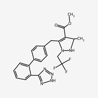 COC(=O)C1=C(Cc2ccc(-c3ccccc3-c3nn[nH]n3)cc2)N(CC(F)(F)F)NC1C